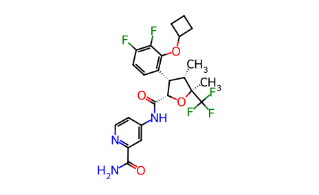 C[C@H]1[C@@H](c2ccc(F)c(F)c2OC2CCC2)[C@@H](C(=O)Nc2ccnc(C(N)=O)c2)O[C@]1(C)C(F)(F)F